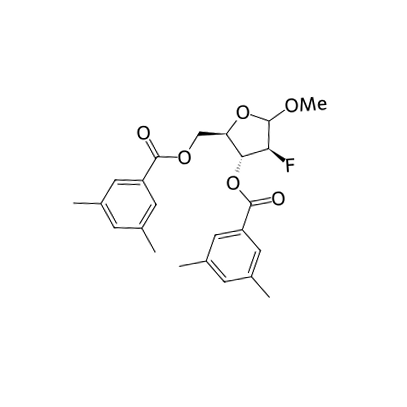 COC1O[C@H](COC(=O)c2cc(C)cc(C)c2)[C@@H](OC(=O)c2cc(C)cc(C)c2)[C@@H]1F